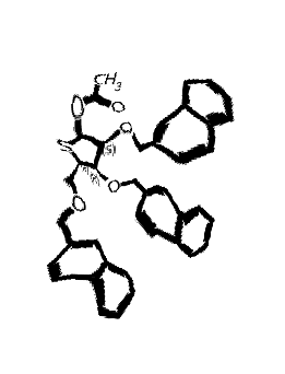 CC(=O)OC1S[C@H](COCc2ccc3ccccc3c2)[C@H](OCc2ccc3ccccc3c2)[C@@H]1OCc1ccc2ccccc2c1